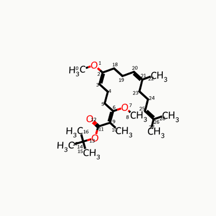 COC(=CCCC(OC)=C(C)C(=O)OC(C)(C)C)CCC=C(C)CCC=C(C)C